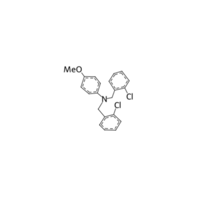 COc1ccc(N(Cc2ccccc2Cl)Cc2ccccc2Cl)cc1